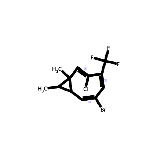 CC1C2\C=C(Br)/C=C(C(F)(F)F)\C(Cl)=C\C12C